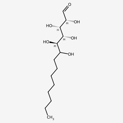 CCCCCCCCC(O)[C@@H](O)[C@@H](O)[C@H](O)[C@@H](O)C=O